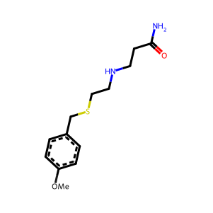 COc1ccc(CSCCNCCC(N)=O)cc1